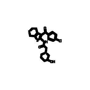 O=C(CN1CCCC(O)C1)Nc1sc2c(c1C(=O)c1ccc(Cl)cc1)CCSC2